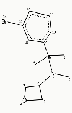 CN(C1COC1)C(C)(C)c1cccc(Br)c1